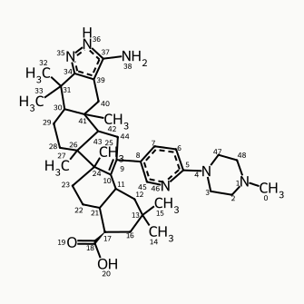 CN1CCN(c2ccc(C3=C4C5CC(C)(C)C[C@@H](C(=O)O)C5CCC4(C)C4(C)CCC5C(C)(C)c6n[nH]c(N)c6CC5(C)C4C3)cn2)CC1